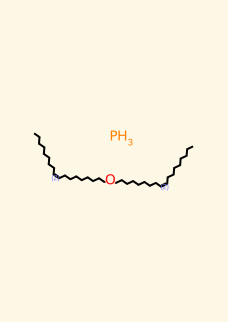 CCCCCCCC/C=C\CCCCCCCCOCCCCCCCC/C=C\CCCCCCCC.P